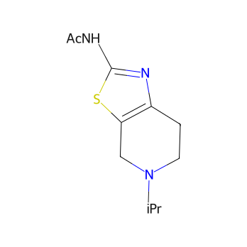 CC(=O)Nc1nc2c(s1)CN(C(C)C)CC2